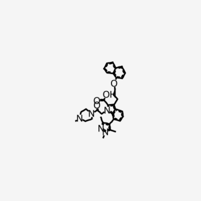 Cc1nn(C)c(C)c1-c1cccc2c(CCCOc3cccc4ccccc34)c(C(=O)O)n(CC(=O)N3CCN(C)CC3)c12